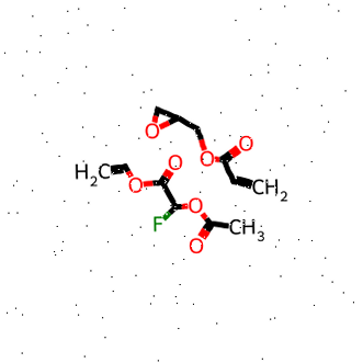 C=CC(=O)OCC1CO1.C=COC(=O)C(F)OC(C)=O